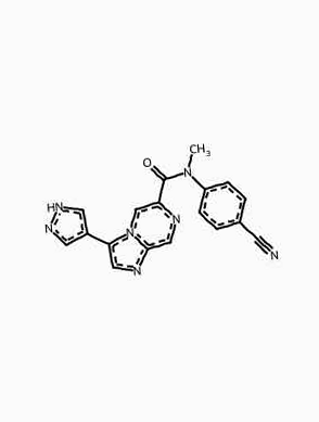 CN(C(=O)c1cn2c(-c3cn[nH]c3)cnc2cn1)c1ccc(C#N)cc1